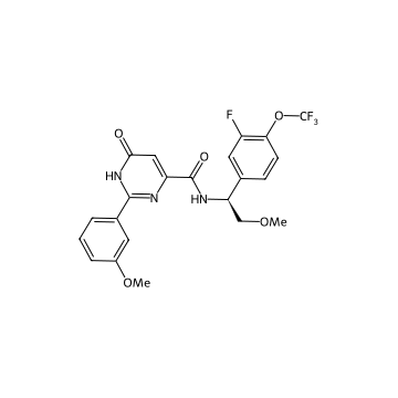 COC[C@@H](NC(=O)c1cc(=O)[nH]c(-c2cccc(OC)c2)n1)c1ccc(OC(F)(F)F)c(F)c1